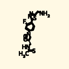 CC(=S)NC[C@H]1CN(c2ccc(-c3nnc(CN)s3)c(F)c2)OO1